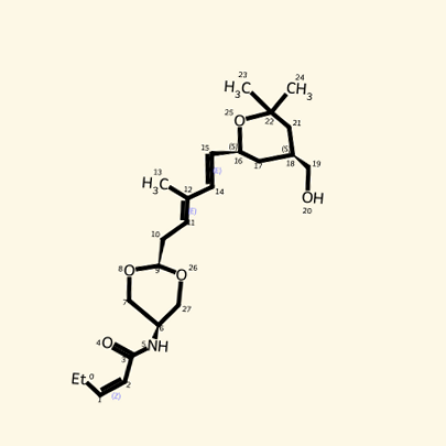 CC/C=C\C(=O)N[C@H]1CO[C@@H](C/C=C(C)/C=C/[C@@H]2C[C@H](CO)CC(C)(C)O2)OC1